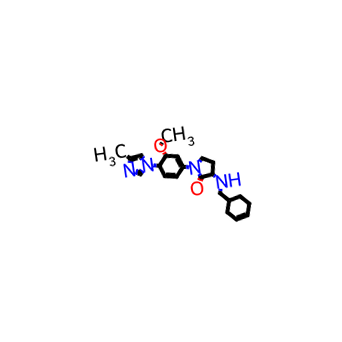 COC1C=C(N2CCC(NCC3CC=CCC3)C2=O)C=CC1n1cnc(C)c1